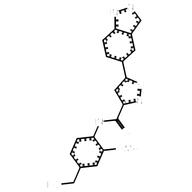 COc1cc(CO)ccc1NC(=O)c1cc(-c2ccc3[nH]ncc3c2)on1